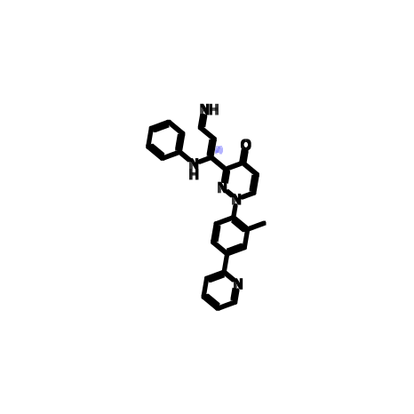 Cc1cc(-c2ccccn2)ccc1-n1ccc(=O)c(/C(=C/C=N)Nc2ccccc2)n1